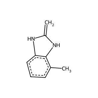 C=C1Nc2cccc(C)c2N1